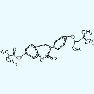 C=C(C)C(=O)Oc1ccc2cc(-c3ccc(OC(O)C(=C)C)cc3)c(=O)oc2c1